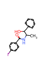 CC(NC(=O)c1ccc(I)cc1)C(O)c1ccccc1